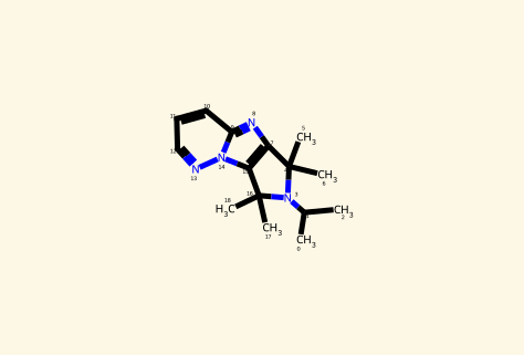 CC(C)N1C(C)(C)c2nc3cccnn3c2C1(C)C